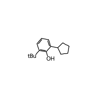 CC(C)(C)c1cccc(C2CCCC2)c1O